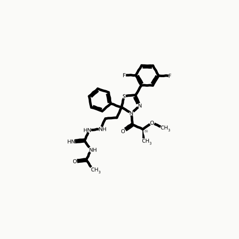 CO[C@@H](C)C(=O)N1N=C(c2cc(F)ccc2F)SC1(CCNNC(=N)NC(C)=O)c1ccccc1